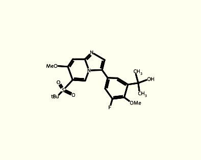 COc1cc2ncc(-c3cc(F)c(OC)c(C(C)(C)O)c3)n2cc1S(=O)(=O)C(C)(C)C